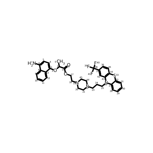 CC(Oc1ccc(N)c2ccccc12)C(=O)OCCN1CCN(CCCN2c3ccccc3Sc3ccc(C(F)(F)F)cc32)CC1